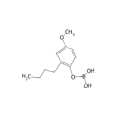 CCCCc1cc(OC)ccc1OB(O)O